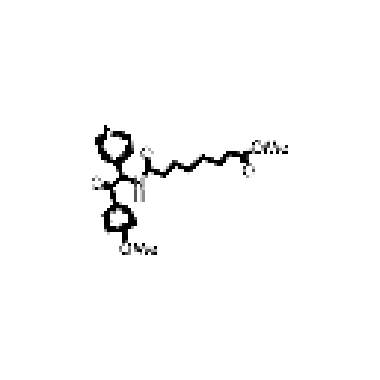 COC(=O)CCCCCCC(=O)NC(C(=O)c1ccc(OC)cc1)c1ccncc1